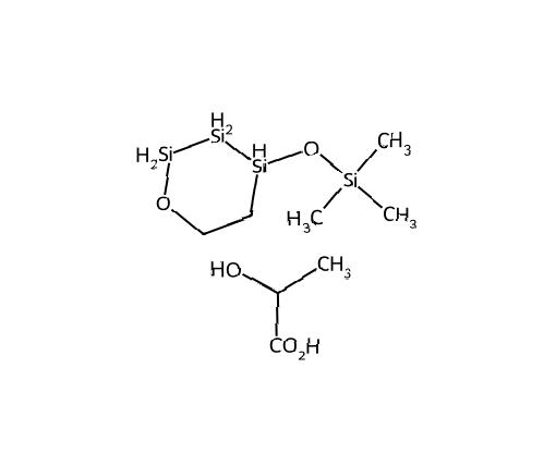 CC(O)C(=O)O.C[Si](C)(C)O[SiH]1CCO[SiH2][SiH2]1